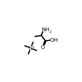 CC(N)C(=O)O.C[N+](C)(C)C